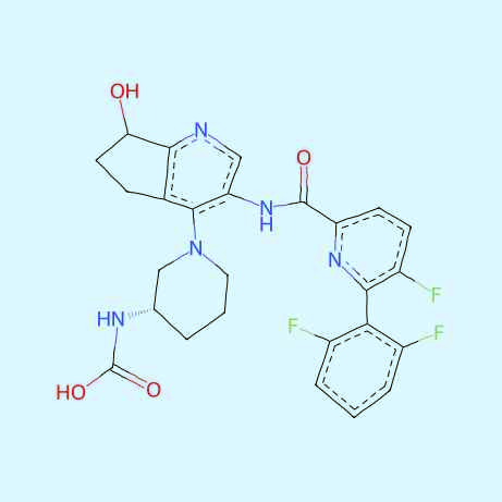 O=C(O)N[C@H]1CCCN(c2c(NC(=O)c3ccc(F)c(-c4c(F)cccc4F)n3)cnc3c2CCC3O)C1